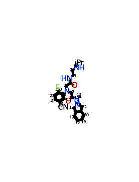 CC(C)NCCNC(=O)CN(CC(=O)N(C)N1CC2C=CC=CC2C1)c1cc(C#N)ccc1F